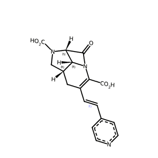 O=C(O)C1=C(/C=C/c2ccncc2)C[C@@H]2CN(C(=O)O)[C@@H]3C(=O)N1[C@H]23